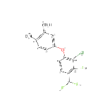 O=C(O)c1cc(Oc2ccc(C(F)F)c(F)c2Cl)ccc1[N+](=O)[O-]